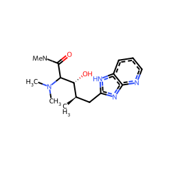 CNC(=O)C([C@H](O)[C@H](C)Cc1nc2ncccc2[nH]1)N(C)C